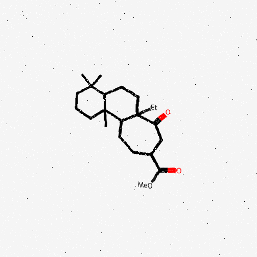 CCC12CCC3C(C)(C)CCCC3(C)C1CCC(C(=O)OC)CC2=O